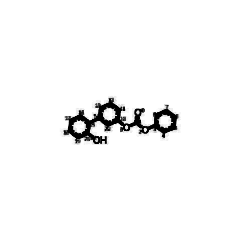 O=C(Oc1ccccc1)Oc1cccc(-c2ccccc2O)c1